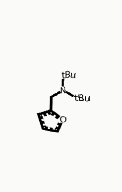 CC(C)(C)N(Cc1ccco1)C(C)(C)C